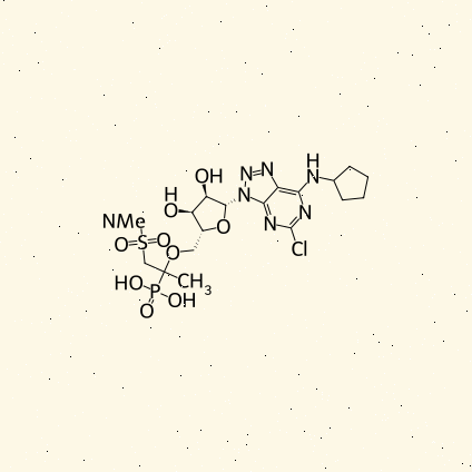 CNS(=O)(=O)CC(C)(OC[C@H]1O[C@@H](n2nnc3c(NC4CCCC4)nc(Cl)nc32)[C@H](O)[C@@H]1O)P(=O)(O)O